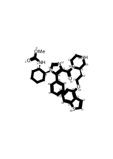 COC(=O)N[C@H]1CCCC[C@@H]1n1cnc(C(=O)N2CCNC[C@H]2CCOc2cccc3sccc23)c1-c1ccccc1